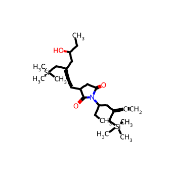 C=C=C(CC(CC)N1C(=O)CC(C=C=C(CC(O)CC)C[Si](C)(C)C)C1=O)C[Si](C)(C)C